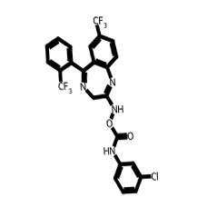 O=C(Nc1cccc(Cl)c1)ONC1=Nc2ccc(C(F)(F)F)cc2C(c2ccccc2C(F)(F)F)=NC1